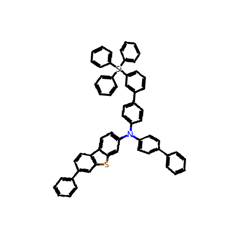 c1ccc(-c2ccc(N(c3ccc(-c4cccc([Si](c5ccccc5)(c5ccccc5)c5ccccc5)c4)cc3)c3ccc4c(c3)sc3cc(-c5ccccc5)ccc34)cc2)cc1